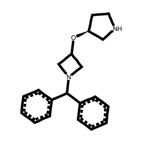 c1ccc(C(c2ccccc2)N2CC(O[C@H]3CCNC3)C2)cc1